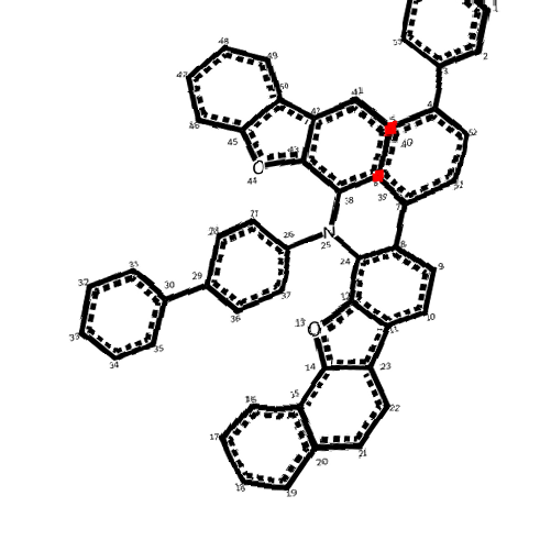 c1ccc(-c2ccc(-c3ccc4c(oc5c6ccccc6ccc45)c3N(c3ccc(-c4ccccc4)cc3)c3cccc4c3oc3ccccc34)cc2)cc1